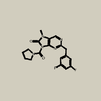 Cn1c(=O)n(C(=O)N2CCCC2)c2nc(Cc3cc(F)cc(F)c3)ncc21